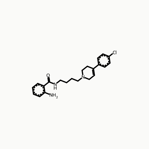 Nc1ccccc1C(=O)NCCCCN1CC=C(c2ccc(Cl)cc2)CC1